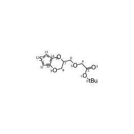 CC(C)(C)OC(=O)COCC1COc2cscc2O1